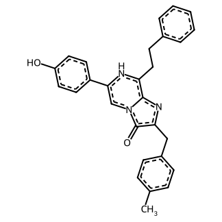 Cc1ccc(Cc2nc3c(CCc4ccccc4)[nH]c(-c4ccc(O)cc4)cn-3c2=O)cc1